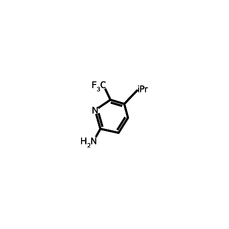 CC(C)c1ccc(N)nc1C(F)(F)F